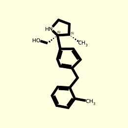 Cc1ccccc1Cc1ccc([C@@]2(CO)NCC[C@@H]2C)cc1